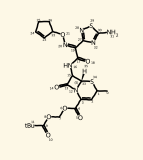 CC1C=C(C(=O)OCOC(=O)C(C)(C)C)N2C(=O)C(NC(=O)C(=NOC3C=CCC3)c3nsc(N)n3)[C@@H]2S1